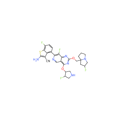 N#Cc1c(N)sc2c(F)ccc(-c3ncc4c(OC5CNCC5F)nc(OCC56CCCN5CC(F)C6)nc4c3F)c12